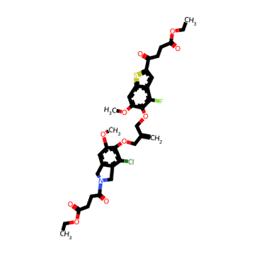 C=C(COc1c(OC)cc2c(c1Cl)CN(C(=O)CCC(=O)OCC)C2)COc1c(OC)cc2sc(C(=O)CCC(=O)OCC)cc2c1F